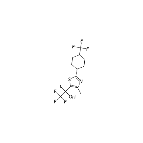 Cc1nc(C2CCC(C(F)(F)F)CC2)sc1C(O)(I)C(F)(F)F